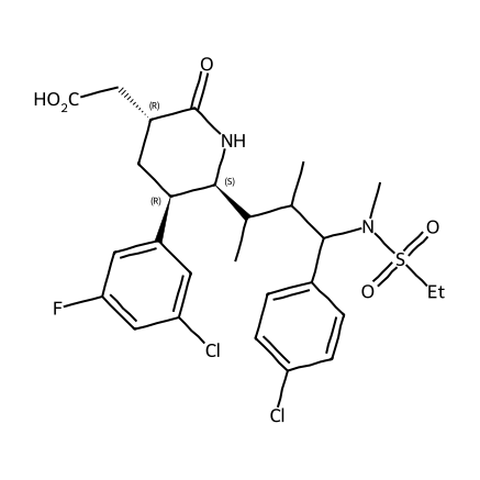 CCS(=O)(=O)N(C)C(c1ccc(Cl)cc1)C(C)C(C)[C@@H]1NC(=O)[C@@H](CC(=O)O)C[C@@H]1c1cc(F)cc(Cl)c1